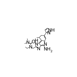 CCN(Cc1nc2c(N)nc3c(c2[nH]1)C(C)CC(c1cc[nH]n1)=C3)C(=O)N(C)C